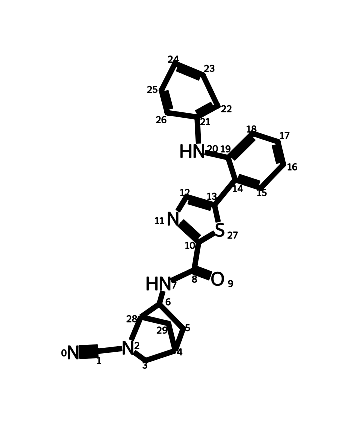 N#CN1CC2CC(NC(=O)c3ncc(-c4ccccc4Nc4ccccc4)s3)C1C2